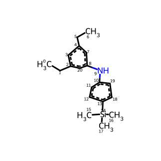 CCc1cc(CC)cc(Nc2ccc([Si](C)(C)C)cc2)c1